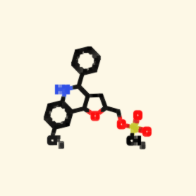 CS(=O)(=O)OCC1CC2C(c3ccccc3)Nc3ccc(C(F)(F)F)cc3C2O1